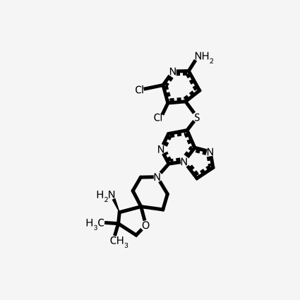 CC1(C)COC2(CCN(c3ncc(Sc4cc(N)nc(Cl)c4Cl)c4nccn34)CC2)[C@@H]1N